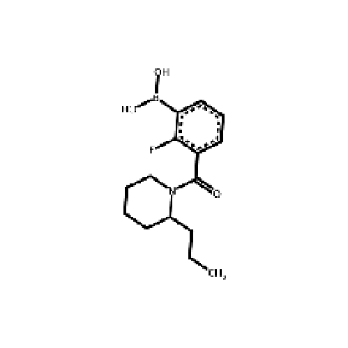 CCCC1CCCCN1C(=O)c1cccc(B(O)O)c1F